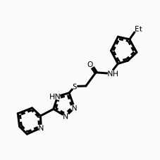 CCc1ccc(NC(=O)CSc2nnc(-c3ccccn3)[nH]2)cc1